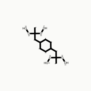 CC(CC1CCC(CC(C)(OO)OO)CC1)(OO)OO